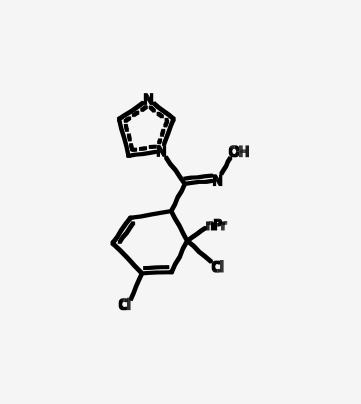 CCCC1(Cl)C=C(Cl)C=CC1C(=NO)n1ccnc1